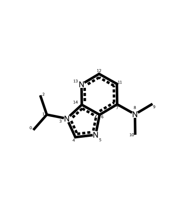 CC(C)n1cnc2c(N(C)C)ccnc21